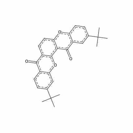 CC(C)(C)c1ccc2c(=O)c3ccc4oc5ccc(C(C)(C)C)cc5c(=O)c4c3oc2c1